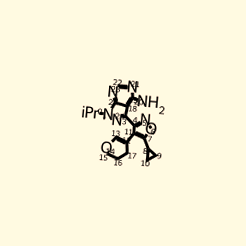 CC(C)n1nc(-c2noc(C3CC3)c2C2=COCCC2)c2c(N)ncnc21